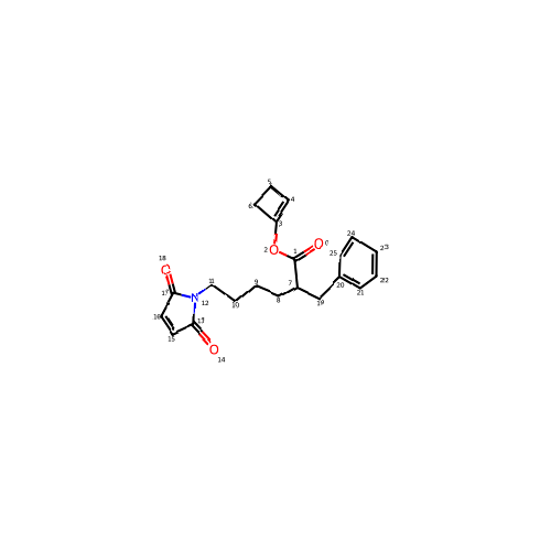 O=C(OC1=CCC1)C(CCCCN1C(=O)C=CC1=O)Cc1ccccc1